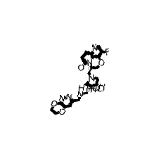 Cl.Cl.O=c1ccc2ncc(F)c3c2n1[C@H](CN1CC[C@H](CNCc2cc4c(nn2)OCCO4)C1)CO3